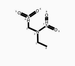 CCN(C[SH](=O)=O)[SH](=O)=O